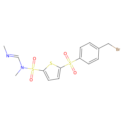 CN=CN(C)S(=O)(=O)c1ccc(S(=O)(=O)c2ccc(CBr)cc2)s1